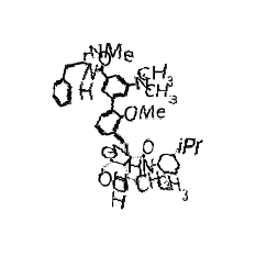 CNC[C@H](Cc1ccccc1)NC(=O)c1cc(-c2cccc(CN3O[C@@H](CO)[C@@H]([C@H](C)O)[C@H]3C(=O)N[C@H]3C[C@H](C(C)C)CC[C@@H]3C)c2OC)cc(N(C)C)c1